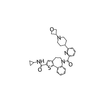 O=C(NC1CC1)c1cc2c(s1)-c1ccccc1N(C(=O)c1cccc(C3CCN(C4COC4)CC3)n1)CC2